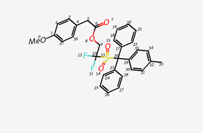 COc1ccc(CC(=O)OCC(F)(F)S(=O)(=O)C(c2ccccc2)(c2ccccc2)c2ccc(C)cc2)cc1